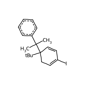 CC(C)(C)C1(C(C)(C)c2ccccc2)C=CC(I)=CC1